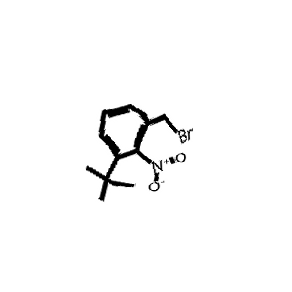 CC(C)(C)c1cccc(CBr)c1[N+](=O)[O-]